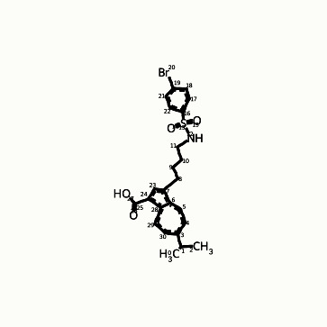 CC(C)c1ccc2c(CCCCNS(=O)(=O)c3ccc(Br)cc3)cc(C(=O)O)c-2cc1